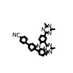 Cc1nc(C)nc(-c2ccc(-n3c4ccccc4c4ccc(-c5ccc(C#N)cc5)cc43)c(-c3nc(C)nc(C)n3)c2)n1